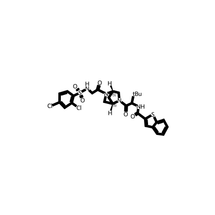 CC(C)(C)C(NC(=O)c1cc2ccccc2s1)C(=O)N1C[C@@H]2C[C@H]1CN2C(=O)CNS(=O)(=O)c1ccc(Cl)cc1Cl